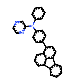 c1ccc(N(c2ccc(-c3ccc4c5c(cccc35)-c3ccccc3-4)cc2)c2cnccn2)cc1